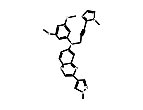 COc1cc(OC)cc(N(CC#Cc2nccn2C)c2ccc3ncc(-c4cnn(C)c4)nc3c2)c1